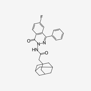 O=C(CC12CC3CC(CC(C3)C1)C2)Nn1nc(-c2ccccc2)c2cc(F)ccc2c1=O